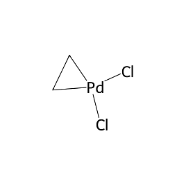 [Cl][Pd]1([Cl])[CH2][CH2]1